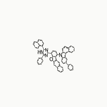 c1ccc(C2=NC(c3ccc(-n4c5ccc(-c6ccccc6)cc5c5c6ccccc6ccc54)c4c3oc3cc5ccccc5cc34)=NC(c3cccc4ccccc34)N2)cc1